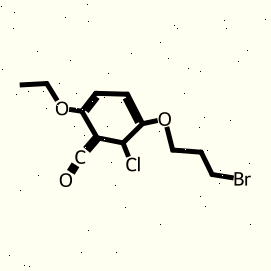 CCOC1=CC=C(OCCCBr)C(Cl)C1=C=O